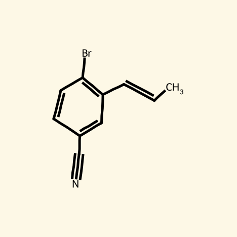 CC=Cc1cc(C#N)ccc1Br